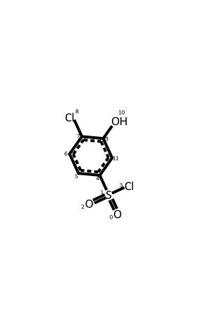 O=S(=O)(Cl)c1ccc(Cl)c(O)c1